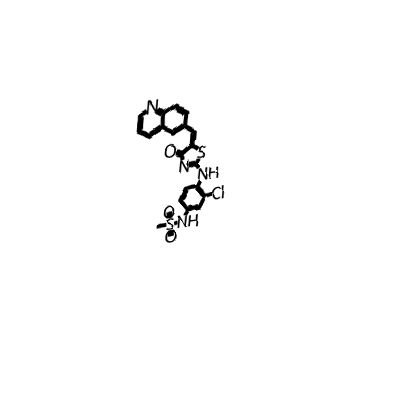 CS(=O)(=O)Nc1ccc(NC2=NC(=O)C(=Cc3ccc4ncccc4c3)S2)c(Cl)c1